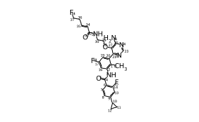 Cc1c(NC(=O)c2ccc(C3CC3)cc2F)cc(F)cc1-c1ncnc(N)c1OCCNC(=O)C=CCCF